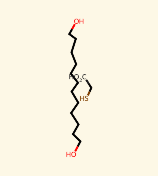 O=C(O)CS.OCCCCCCCCCCCCO